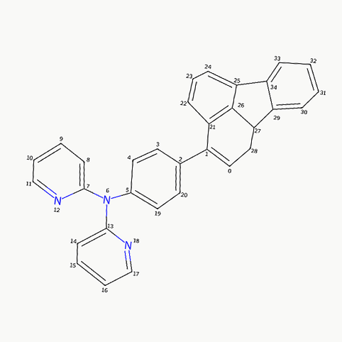 C1=C(c2ccc(N(c3ccccn3)c3ccccn3)cc2)c2cccc3c2C(C1)c1ccccc1-3